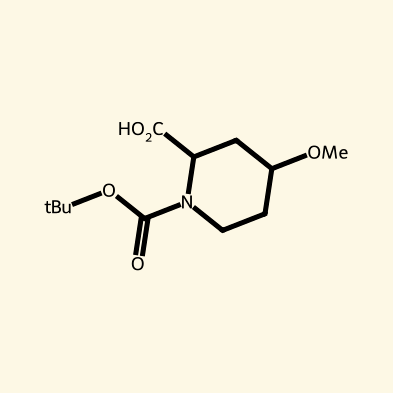 COC1CCN(C(=O)OC(C)(C)C)C(C(=O)O)C1